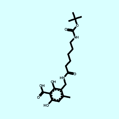 Cc1cc(O)c(C(=O)O)c(O)c1CNC(=O)CCCCCNC(=O)OC(C)(C)C